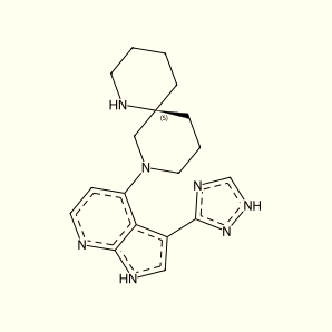 c1cc(N2CCC[C@@]3(CCCCN3)C2)c2c(-c3nc[nH]n3)c[nH]c2n1